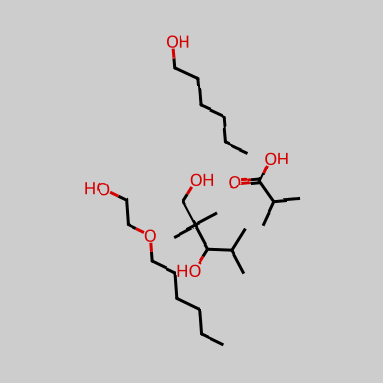 CC(C)C(=O)O.CC(C)C(O)C(C)(C)CO.CCCCCCO.CCCCCCOCCO